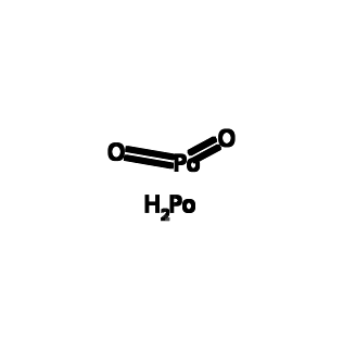 [O]=[Po]=[O].[PoH2]